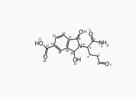 NC(=O)C(CCC=O)N1C(=O)c2ccc(C(=O)O)cc2C1O